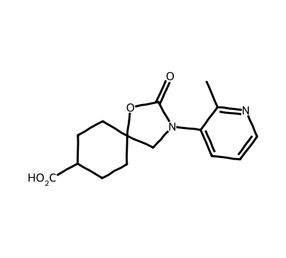 Cc1ncccc1N1CC2(CCC(C(=O)O)CC2)OC1=O